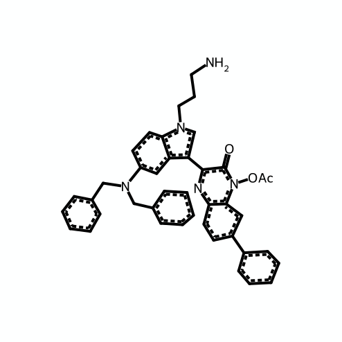 CC(=O)On1c(=O)c(-c2cn(CCCN)c3ccc(N(Cc4ccccc4)Cc4ccccc4)cc23)nc2ccc(-c3ccccc3)cc21